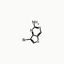 Nc1ncc2scc(Br)c2n1